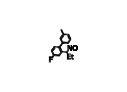 CCC(N=O)c1cc(F)ccc1-c1cccc(C)c1